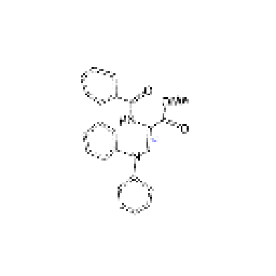 COC(=O)/C(=C/N(c1ccccc1)c1ccccc1)NC(=O)c1ccccc1